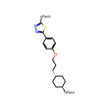 CCCCCc1nnc(-c2ccc(OCCC[C@H]3CC[C@H](CCCCC)CC3)cc2)s1